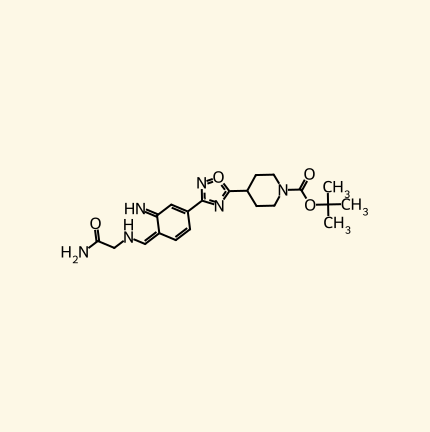 CC(C)(C)OC(=O)N1CCC(c2nc(C3=CC(=N)/C(=C\NCC(N)=O)C=C3)no2)CC1